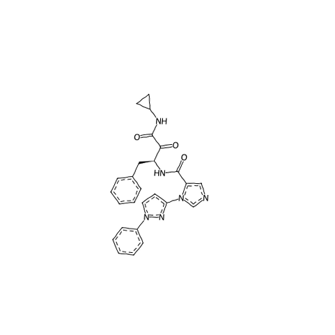 O=C(NC1CC1)C(=O)[C@H](Cc1ccccc1)NC(=O)c1cncn1-c1ccn(-c2ccccc2)n1